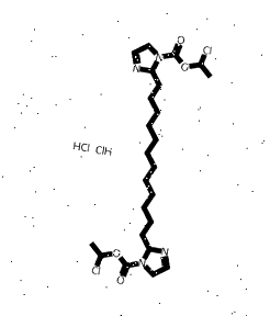 CC(Cl)OC(=O)N1CC=NC1CCCCCCCCCCCCC1N=CCN1C(=O)OC(C)Cl.Cl.Cl